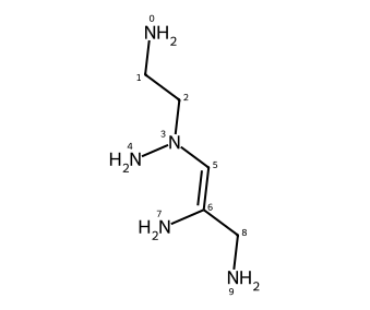 NCCN(N)/C=C(\N)CN